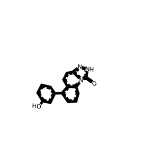 O=c1[nH]nc2ccc3c(-c4cccc(O)c4)cccc3n12